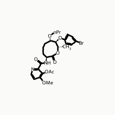 CCCO[C@H]1CCC[C@H](NC(=O)c2nccc(OC)c2OC(C)=O)C(=O)O[C@@H](C)[C@@H]1Oc1ccc(Br)cc1